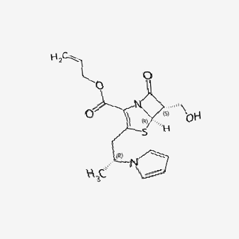 C=CCOC(=O)C1=C(C[C@@H](C)n2cccc2)S[C@@H]2[C@@H](CO)C(=O)N12